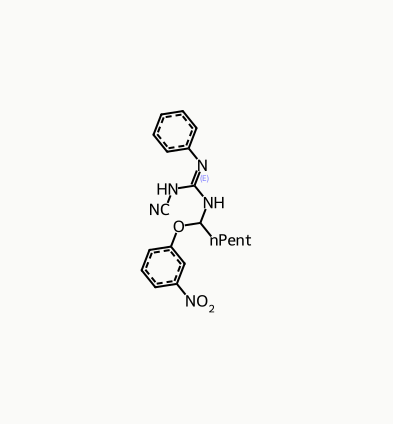 CCCCCC(N/C(=N/c1ccccc1)NC#N)Oc1cccc([N+](=O)[O-])c1